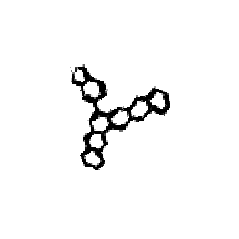 c1ccc2cc3cc4c(cc3cc2c1)c(-c1ccc2cocc2c1)cc1cc2ccccc2cc14